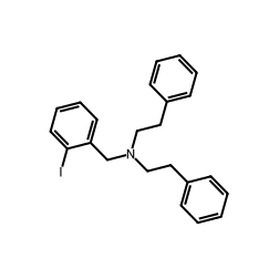 Ic1ccccc1CN(CCc1ccccc1)CCc1ccccc1